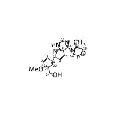 COc1ccc(-c2ccc3c(n2)NCN=C3N2CCOC[C@@H]2C)cc1CO